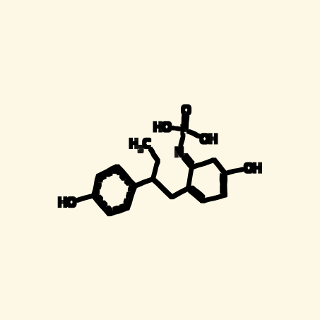 CCC(CC1=CC=C(O)CC1=NP(=O)(O)O)c1ccc(O)cc1